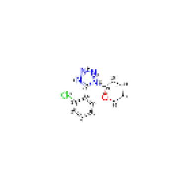 Clc1ccccc1-c1nnnn1C1CCCCO1